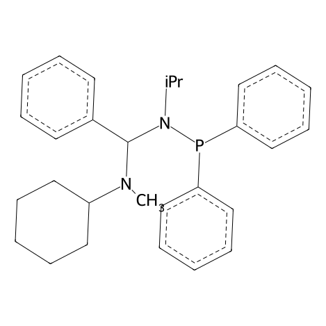 CC(C)N(C(c1ccccc1)N(C)C1CCCCC1)P(c1ccccc1)c1ccccc1